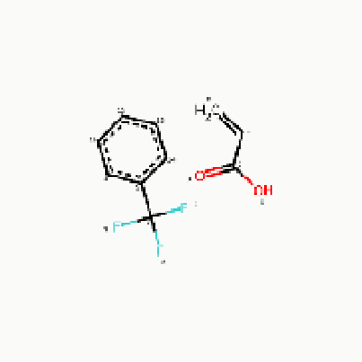 C=CC(=O)O.FC(F)(F)c1ccccc1